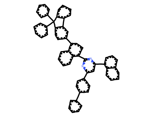 c1ccc(-c2ccc(-c3cc(-c4cccc5ccccc45)nc(-c4ccc(-c5ccc6c(c5)-c5ccccc5C6(c5ccccc5)c5ccccc5)c5ccccc45)n3)cc2)cc1